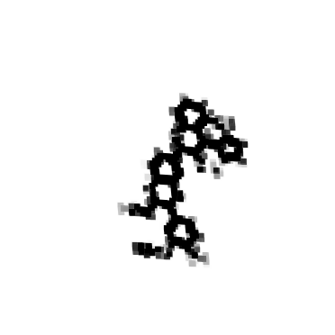 COc1cc(C2Oc3cc(C4Oc5cccc(O)c5C(=C5C=CC=C5)C4C)ccc3OC2CO)ccc1O